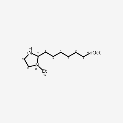 CCCCCCCCCCCCCCC1NCCN1CC